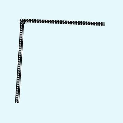 [Mn].[Mn].[Ni].[Ni].[Ni].[Ni].[Ni].[Ni].[Ni].[Ni].[Ni].[Ni].[Ni].[Ni].[Ni].[Ni].[Ni].[Ni].[Ni].[Ni].[Ni].[Ni].[Ni].[Ni].[Ni].[Ni].[Ni].[Ni].[Ni].[Ni].[Ni].[Ni].[Ni].[Ni].[Ni].[Ni].[Ni].[Ni].[Ni].[Ni].[Ni].[Ni].[Ni].[Ni].[Ni].[Ni].[Ni].[Ni].[Ni].[Ni].[Ni].[Ni].[Ni].[Ni].[Ni].[Ni].[Ni].[Ni].[Ni].[Ni].[Ni].[Ni].[Ni].[Ni].[Ni].[Ni].[Ni].[Ni].[Ni].[Ni].[Ni].[Ni].[Ni].[Ni].[Ni].[Ni].[Ni].[Ni].[Ni].[Ni].[Ni].[Ni].[Ni].[Ni].[Ni].[Ni].[Ni].[Ni].[Ni].[Ni].[Ni].[Ni].[Ni].[Ni].[Ni].[Ni].[Ni].[Ni].[Ni].[Ni]